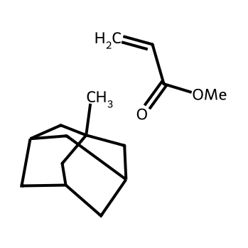 C=CC(=O)OC.CC12CC3CC(CC(C3)C1)C2